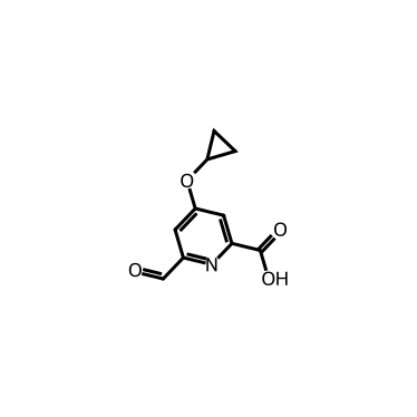 O=Cc1cc(OC2CC2)cc(C(=O)O)n1